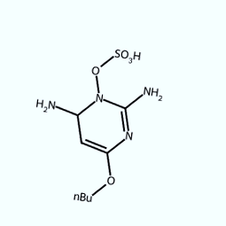 CCCCOC1=CC(N)N(OS(=O)(=O)O)C(N)=N1